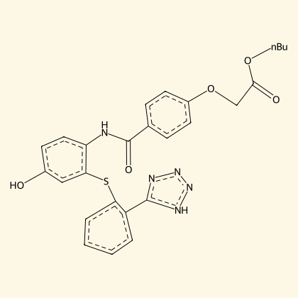 CCCCOC(=O)COc1ccc(C(=O)Nc2ccc(O)cc2Sc2ccccc2-c2nnn[nH]2)cc1